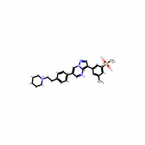 Cc1cc(-c2cnn3cc(-c4ccc(CCN5CCCCC5)cc4)cnc23)cc(S(C)(=O)=O)c1